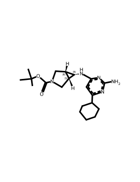 CC(C)(C)OC(=O)N1C[C@@H]2[C@H](C1)[C@@H]2Nc1cc(C2CCCCC2)nc(N)n1